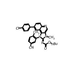 CCCCOC(=O)N=c1n(C)c2cnc3ccc(-c4ccc(Cl)cc4)cc3c2n1-c1cc(C#N)ccc1C